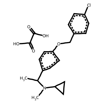 CC(c1ccc(OCc2ccc(Cl)cc2)cc1)N(C)C1CC1.O=C(O)C(=O)O